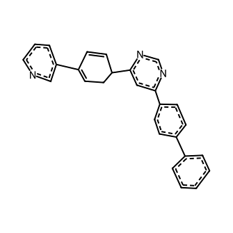 C1=CC(c2cc(-c3ccc(-c4ccccc4)cc3)ncn2)CC=C1c1cccnc1